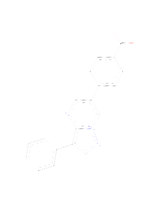 O=C(O)c1ccc(-c2cnc3c(-c4ccccc4)cnn3c2)cc1